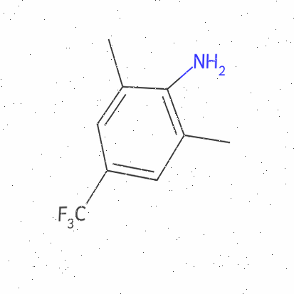 Cc1cc(C(F)(F)F)cc(C)c1N